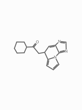 O=C(CC1C=C2N=CN=C2n2cccc21)C1CCCCC1